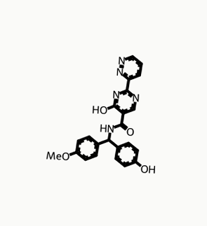 COc1ccc(C(NC(=O)c2cnc(-c3cccnn3)nc2O)c2ccc(O)cc2)cc1